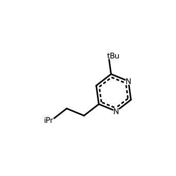 CC(C)CCc1cc(C(C)(C)C)ncn1